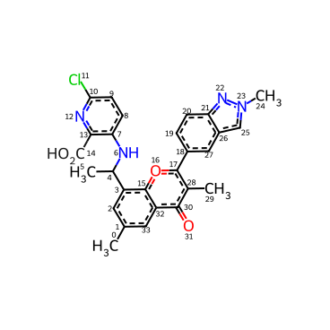 Cc1cc(C(C)Nc2ccc(Cl)nc2C(=O)O)c2oc(-c3ccc4nn(C)cc4c3)c(C)c(=O)c2c1